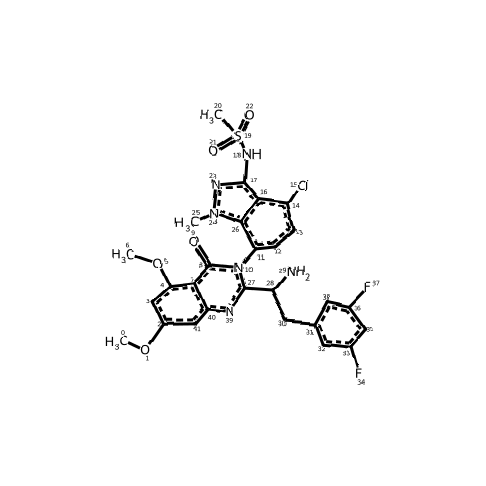 COc1cc(OC)c2c(=O)n(-c3ccc(Cl)c4c(NS(C)(=O)=O)nn(C)c34)c(C(N)Cc3cc(F)cc(F)c3)nc2c1